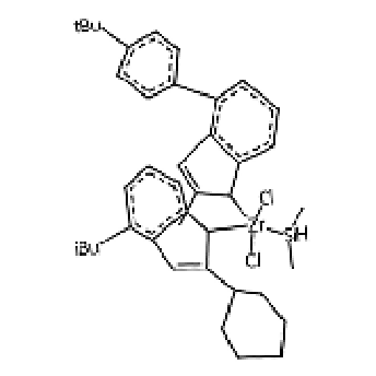 CCC(C)c1cccc2c1C=C(C1CCCCC1)[CH]2[Zr]([Cl])([Cl])([CH]1C(C)=Cc2c(-c3ccc(C(C)(C)C)cc3)cccc21)[SiH](C)C